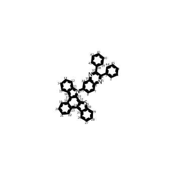 c1ccc(-c2nc3ccc(-n4c5ccccc5c5c6ccccc6c6c7ccccc7sc6c54)cc3nc2-c2ccccc2)cc1